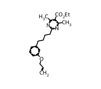 C=CCOc1cccc(CCCCc2nc(C)c(C(=O)OCC)c(C)n2)c1